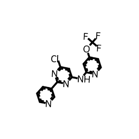 FC(F)(F)Oc1ccnc(Nc2cc(Cl)nc(-c3cccnc3)n2)c1